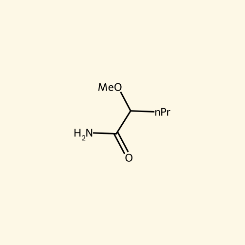 [CH2]CCC(OC)C(N)=O